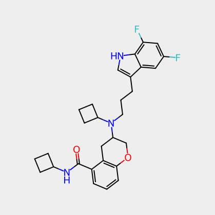 O=C(NC1CCC1)c1cccc2c1CC(N(CCCc1c[nH]c3c(F)cc(F)cc13)C1CCC1)CO2